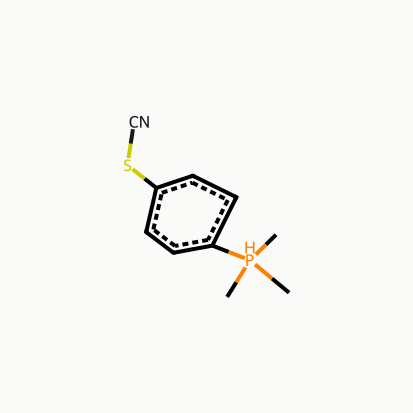 C[PH](C)(C)c1ccc(SC#N)cc1